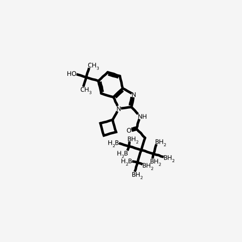 BC(B)(B)C(CC(=O)Nc1nc2ccc(C(C)(C)O)cc2n1C1CCC1)(C(B)(B)B)C(B)(B)B